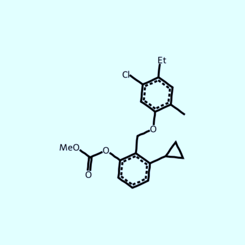 CCc1cc(C)c(OCc2c(OC(=O)OC)cccc2C2CC2)cc1Cl